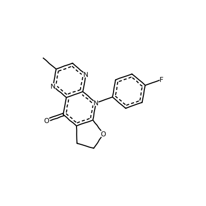 Cc1cnc2c(n1)c(=O)c1c(n2-c2ccc(F)cc2)OCC1